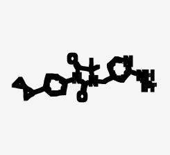 CC(C)Nc1cc(CN2C(=O)N(c3ccc(C4CC45CC5)cc3)C(=O)C2(C)C)ccn1